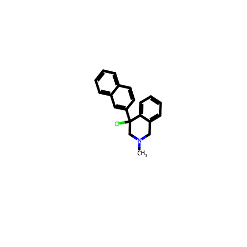 CN1Cc2ccccc2C(Cl)(c2ccc3ccccc3c2)C1